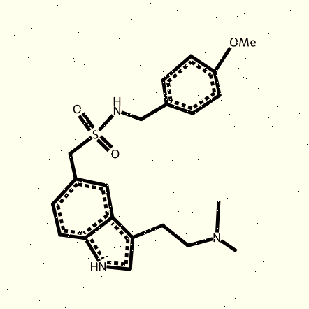 COc1ccc(CNS(=O)(=O)Cc2ccc3[nH]cc(CCN(C)C)c3c2)cc1